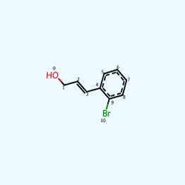 OCC=Cc1ccccc1Br